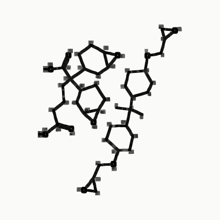 CC(C)(C1CCC(OCC2CO2)CC1)C1CCC(OCC2CO2)CC1.O=C(O)CCCC(C(=O)O)(C1CCC2OC2C1)C1CCC2OC2C1